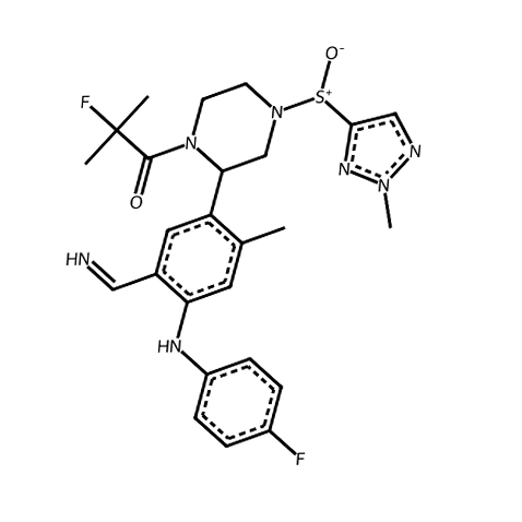 Cc1cc(Nc2ccc(F)cc2)c(C=N)cc1C1CN([S+]([O-])c2cnn(C)n2)CCN1C(=O)C(C)(C)F